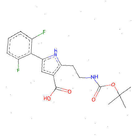 CC(C)(C)OC(=O)NCCc1[nH]c(-c2c(F)cccc2F)cc1C(=O)O